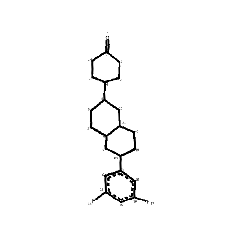 O=C1CCC(C2CCC3CC(c4cc(F)cc(F)c4)CCC3C2)CC1